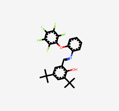 CC(C)(C)c1cc(/C=N/c2ccccc2Oc2c(F)c(F)c(F)c(F)c2F)c(O)c(C(C)(C)C)c1